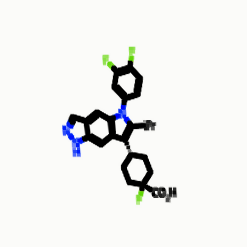 CC(C)c1c([C@H]2CC[C@](F)(C(=O)O)CC2)c2cc3[nH]ncc3cc2n1-c1ccc(F)c(F)c1